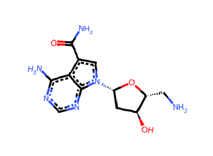 NC[C@H]1O[C@@H](n2cc(C(N)=O)c3c(N)ncnc32)C[C@@H]1O